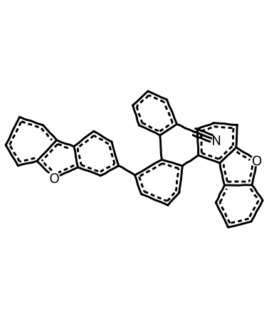 N#Cc1ccccc1-c1c(-c2ccc3c(c2)oc2ccccc23)cccc1-c1cccc2oc3ccccc3c12